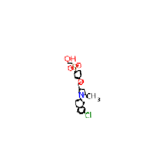 C[C@@H]1C[C@H](COc2ccc(S(=O)(=O)CCO)cc2)CN1C1CCc2ccc(Cl)cc2C1